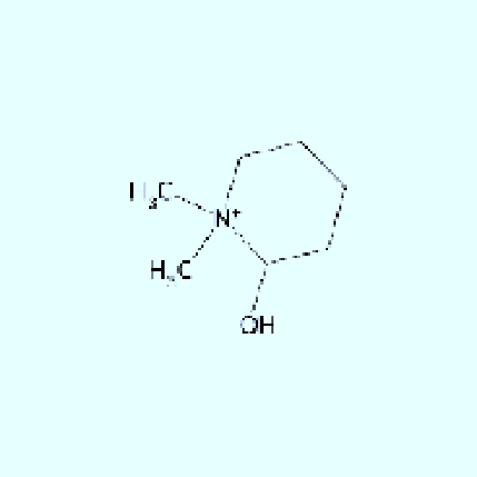 C[N+]1(C)CCCCC1O